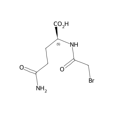 NC(=O)CC[C@H](NC(=O)CBr)C(=O)O